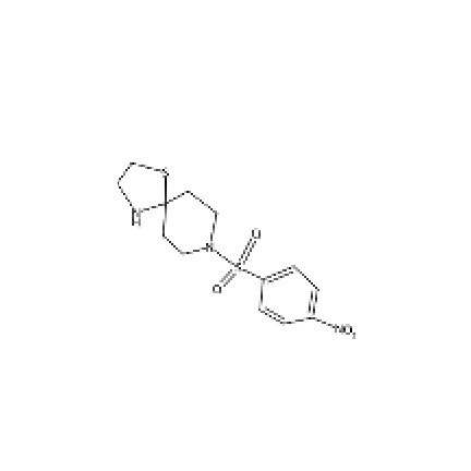 O=[N+]([O-])c1ccc(S(=O)(=O)N2CCC3(CC2)NCCS3)cc1